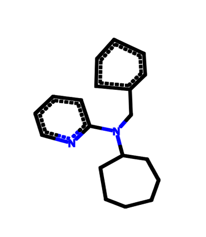 c1ccc(CN(c2ccccn2)C2CCCCCC2)cc1